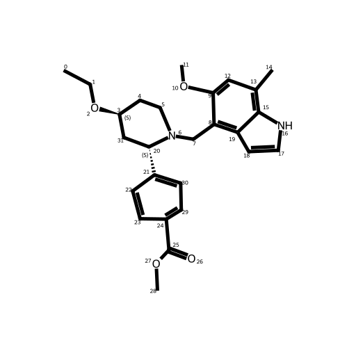 CCO[C@H]1CCN(Cc2c(OC)cc(C)c3[nH]ccc23)[C@H](c2ccc(C(=O)OC)cc2)C1